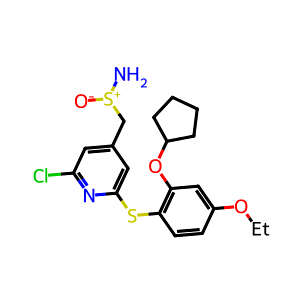 CCOc1ccc(Sc2cc(C[S+](N)[O-])cc(Cl)n2)c(OC2CCCC2)c1